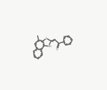 Cc1cc2ccccc2c2c1SC(=CC(=O)c1ccccc1)N2